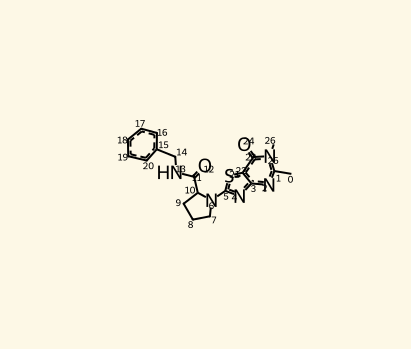 Cc1nc2nc(N3CCCC3C(=O)NCc3ccccc3)sc2c(=O)n1C